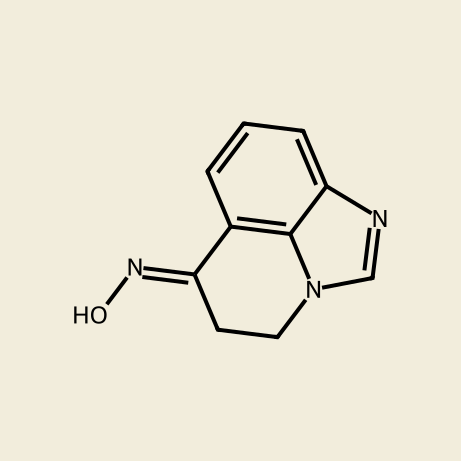 ON=C1CCn2cnc3cccc1c32